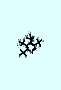 CC(C)(C)c1cnc(C(C)(C)C)c(C(C)(C)C)c1C(C)(C)C